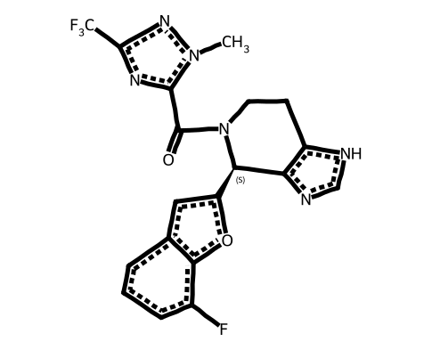 Cn1nc(C(F)(F)F)nc1C(=O)N1CCc2[nH]cnc2[C@H]1c1cc2cccc(F)c2o1